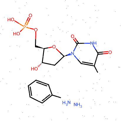 Cc1ccccc1.Cc1cn([C@H]2C[C@H](O)[C@@H](COP(=O)(O)O)O2)c(=O)[nH]c1=O.N.N